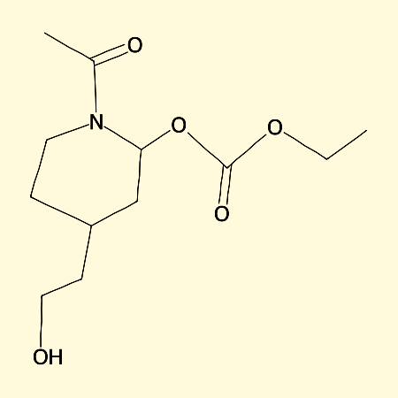 CCOC(=O)OC1CC(CCO)CCN1C(C)=O